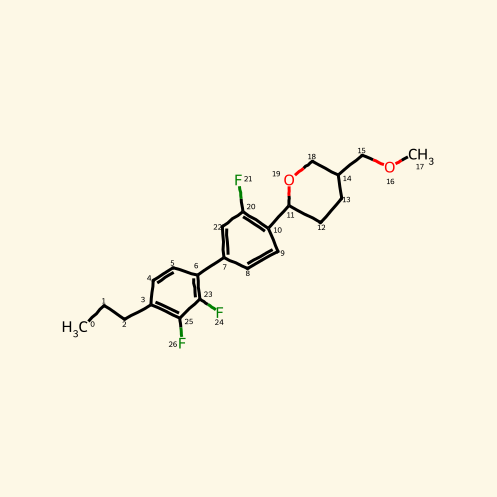 CCCc1ccc(-c2ccc(C3CCC(COC)CO3)c(F)c2)c(F)c1F